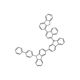 c1ccc(-c2ccc(C3c4ccccc4-c4cc(-c5ccc6c7ccccc7n(-c7ccc(-c8cccc9c8Cc8ccccc8-9)c8ccccc78)c6c5)ccc43)cc2)cc1